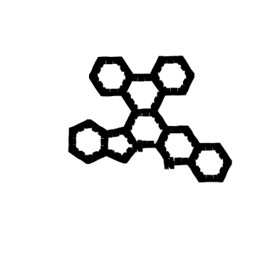 c1ccc2nc3c(cc2c1)c1c2ccccc2c2ccccc2c1c1c2ccccc2cn31